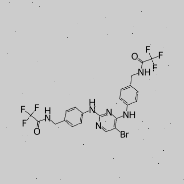 O=C(NCc1ccc(Nc2ncc(Br)c(Nc3ccc(CNC(=O)C(F)(F)F)cc3)n2)cc1)C(F)(F)F